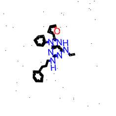 CCNc1nc(NCCCc2ccccc2)nc2c1nc(-c1ccco1)n2-c1ccccc1